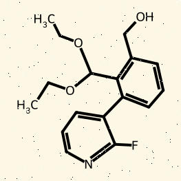 CCOC(OCC)c1c(CO)cccc1-c1cccnc1F